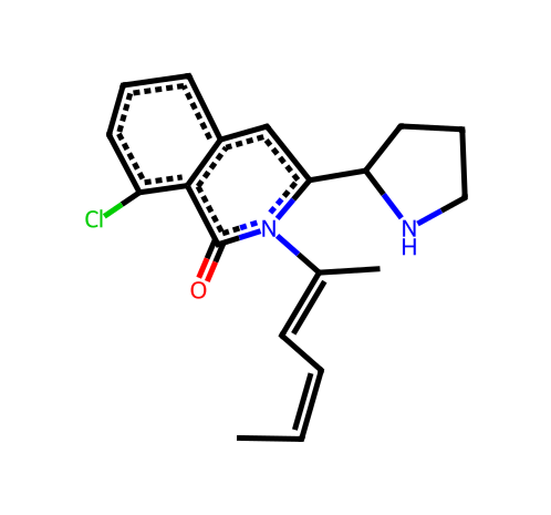 C/C=C\C=C(/C)n1c(C2CCCN2)cc2cccc(Cl)c2c1=O